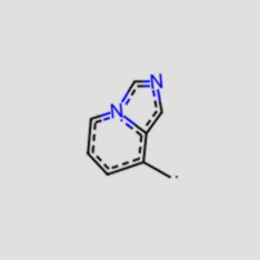 [CH2]c1cccn2cncc12